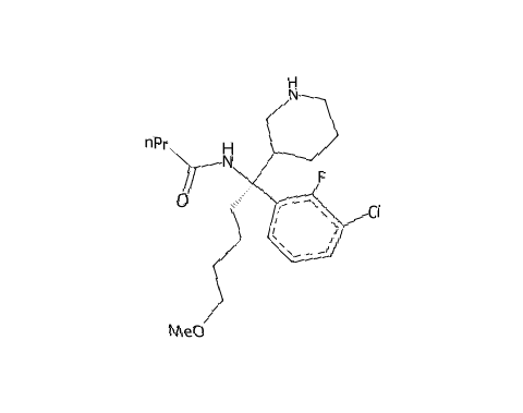 CCCC(=O)N[C@](CCCCOC)(c1cccc(Cl)c1F)C1CCCNC1